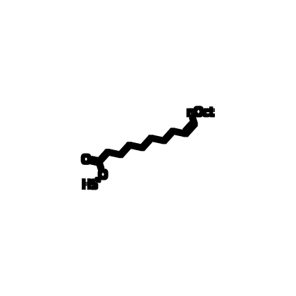 CCCCCCCC/C=C\CCCCCCCC(=O)OS